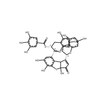 O=C(O[C@@H]1Cc2c(O)cc(O)cc2O[C@@H]1c1cc(O)c(O)c2c1C1C([C@H]3Oc4cc(O)cc(O)c4C[C@H]3O)=CC(=O)C1(O)O2)c1cc(O)c(O)c(O)c1